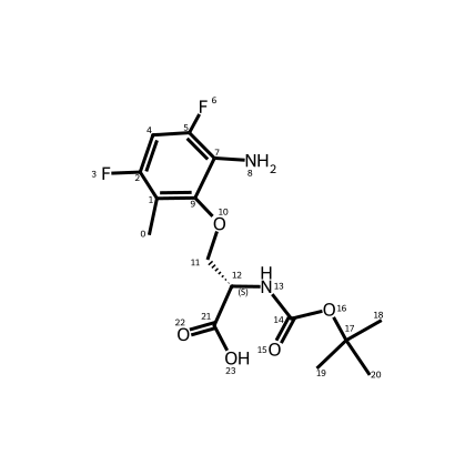 Cc1c(F)cc(F)c(N)c1OC[C@H](NC(=O)OC(C)(C)C)C(=O)O